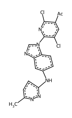 CC(=O)c1cc(Cl)c(-n2cnc3cc(Nc4ccc(C)nn4)ccc32)nc1Cl